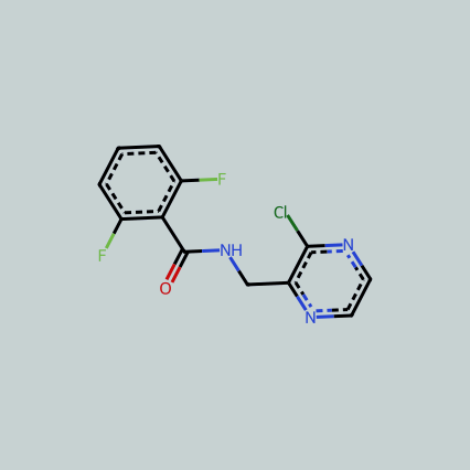 O=C(NCc1nccnc1Cl)c1c(F)cccc1F